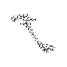 Cc1ncsc1-c1ccc(CNC(=O)[C@@H]2C[C@@H](O)CN2C(=O)[C@@H](NC(=O)COCCCOCCCCCOc2ccc(N3C(=S)N(c4ccccc4)C(=O)C3(C)C)cc2)C(C)(C)C)cc1